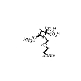 COCCOCN1C(=O)CC1(C(=O)O)C(=O)O.[NaH]